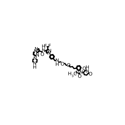 Cn1c(=O)n(C2CCC(=O)NC2=O)c2cccc(CCCOCCOCCNCc3ccc(-n4cc(NC(=O)c5cnn6ccc(N7CCNCC7)nc56)c(C(F)F)n4)cc3)c21